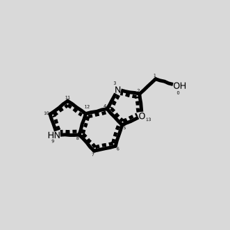 OCc1nc2c(ccc3[nH]ccc32)o1